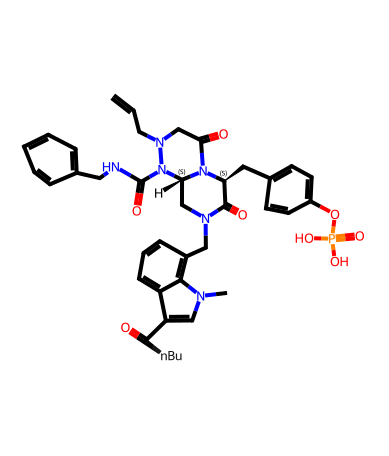 C=CCN1CC(=O)N2[C@@H](Cc3ccc(OP(=O)(O)O)cc3)C(=O)N(Cc3cccc4c(C(=O)CCCC)cn(C)c34)C[C@@H]2N1C(=O)NCc1ccccc1